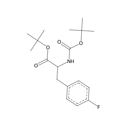 CC(C)(C)OC(=O)NC(Cc1ccc(F)cc1)C(=O)OC(C)(C)C